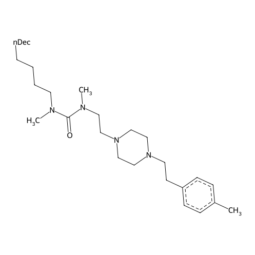 CCCCCCCCCCCCCCN(C)C(=O)N(C)CCN1CCN(CCc2ccc(C)cc2)CC1